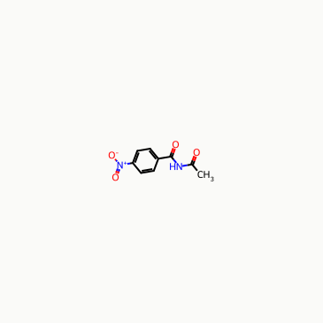 CC(=O)NC(=O)c1ccc([N+](=O)[O-])cc1